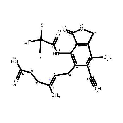 C#Cc1c(C)c2c(c(NC(=O)C(F)(F)F)c1C/C=C(\C)CCC(=O)O)C(=O)OC2